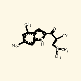 Cc1cc(C)c2cc(C(=O)C(C#N)=CN(C)C)[nH]c2c1